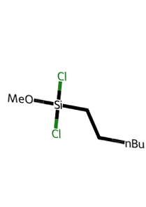 CCCCCC[Si](Cl)(Cl)OC